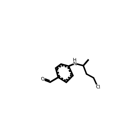 CC(CCCl)Nc1ccc(C=O)cc1